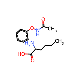 CC(=O)NOc1ccccc1.CCCC[C@H](N)C(=O)O